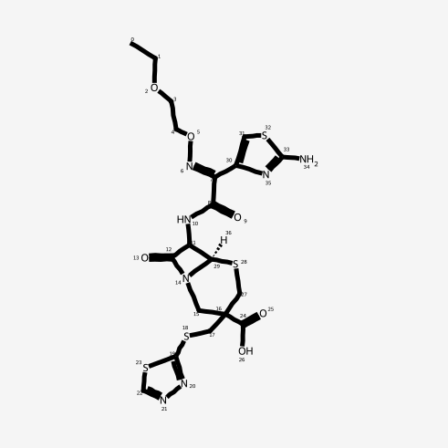 CCOCCON=C(C(=O)NC1C(=O)N2CC(CSc3nncs3)(C(=O)O)CS[C@H]12)c1csc(N)n1